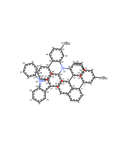 CC(C)(C)c1cc(-c2cccc3cccc(-c4ccccc4N(c4ccc5c6ccccc6n(-c6ccccc6)c5c4)c4cc(C(C)(C)C)ccc4-c4ccccc4)c23)cc(C(C)(C)C)c1